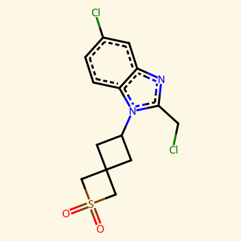 O=S1(=O)CC2(CC(n3c(CCl)nc4cc(Cl)ccc43)C2)C1